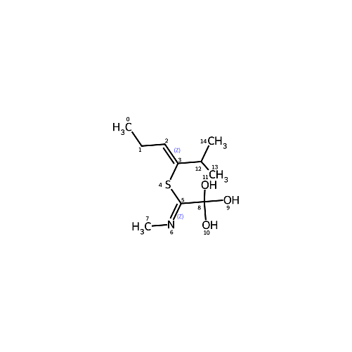 CC/C=C(\S/C(=N\C)C(O)(O)O)C(C)C